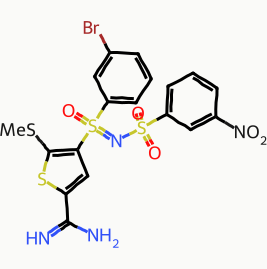 CSc1sc(C(=N)N)cc1S(=O)(=NS(=O)(=O)c1cccc([N+](=O)[O-])c1)c1cccc(Br)c1